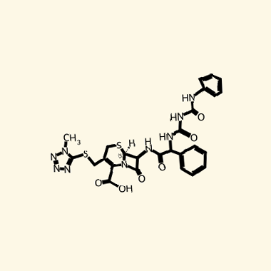 Cn1nnnc1SCC1=C(C(=O)O)N2C(=O)C(NC(=O)C(NC(=O)NC(=O)Nc3ccccc3)c3ccccc3)[C@@H]2SC1